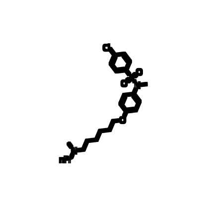 CCCN(C)CCCCCCOc1ccc(N(C)S(=O)(=O)c2ccc(Cl)cc2)cc1